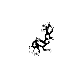 C=Cc1c(C)c(F)cc2nc3c(c(CN)c12)Cn1c-3cc2c(c1=O)COC(=O)[C@]2(O)CC